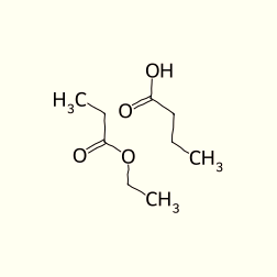 CCCC(=O)O.CCOC(=O)CC